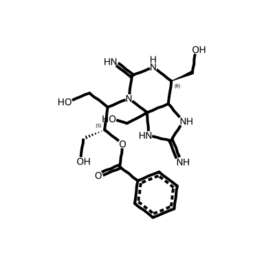 N=C1NC2[C@H](CO)NC(=N)N(C(CO)[C@@H](CO)OC(=O)c3ccccc3)C2(CO)N1